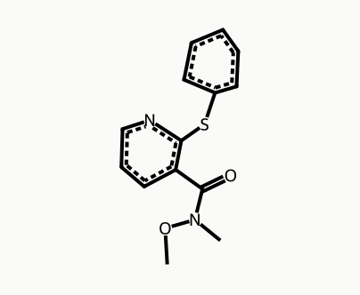 CON(C)C(=O)c1cccnc1Sc1ccccc1